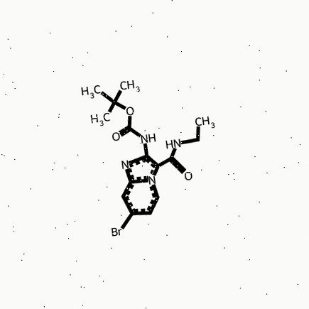 CCNC(=O)c1c(NC(=O)OC(C)(C)C)nc2cc(Br)ccn12